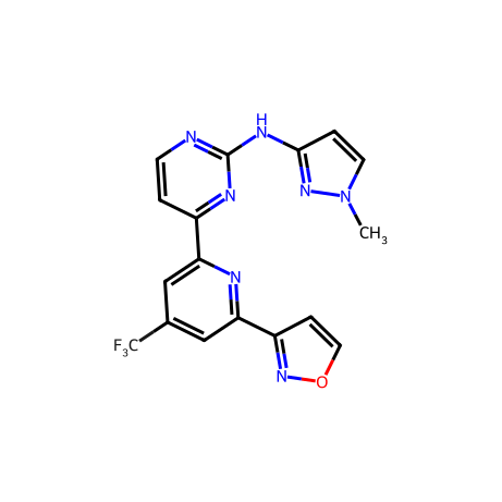 Cn1ccc(Nc2nccc(-c3cc(C(F)(F)F)cc(-c4ccon4)n3)n2)n1